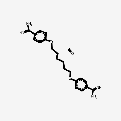 C=O.N=C(N)c1ccc(OCCCCCCOc2ccc(C(=N)N)cc2)cc1